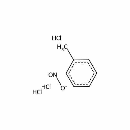 Cc1ccccc1.Cl.Cl.Cl.O=[NH+][O-]